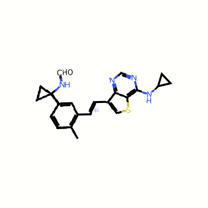 Cc1ccc(C2(NC=O)CC2)cc1/C=C/c1csc2c(NC3CC3)ncnc12